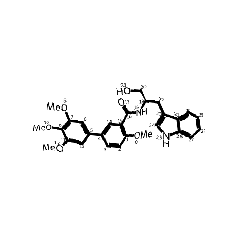 COc1ccc(-c2cc(OC)c(OC)c(OC)c2)cc1C(=O)N[C@@H](CO)Cc1c[nH]c2ccccc12